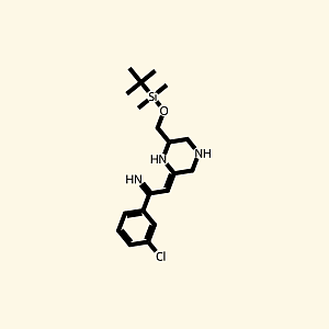 CC(C)(C)[Si](C)(C)OCC1CNC/C(=C/C(=N)c2cccc(Cl)c2)N1